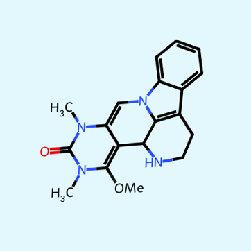 COC1=C2C(=Cn3c4c(c5ccccc53)CCNC24)N(C)C(=O)N1C